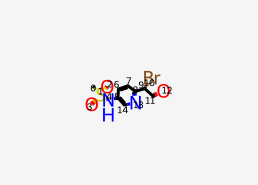 CS(=O)(=O)Nc1ccc(C(Br)C=O)nc1